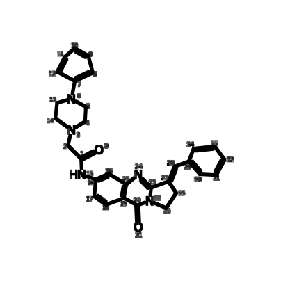 O=C(CN1CCN(c2ccccc2)CC1)Nc1ccc2c(=O)n3c(nc2c1)C(=Cc1ccccc1)CC3